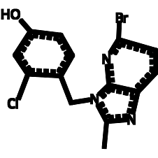 Cc1nc2ccc(Br)nc2n1Cc1ccc(O)cc1Cl